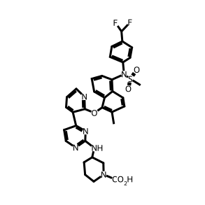 Cc1ccc2c(N(c3ccc(C(F)F)cc3)S(C)(=O)=O)cccc2c1Oc1ncccc1-c1ccnc(NC2CCCN(C(=O)O)C2)n1